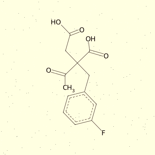 CC(=O)C(CC(=O)O)(Cc1cccc(F)c1)C(=O)O